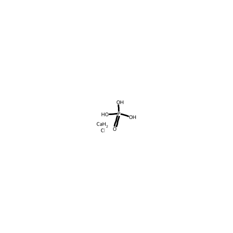 O=P(O)(O)O.[C].[CaH2]